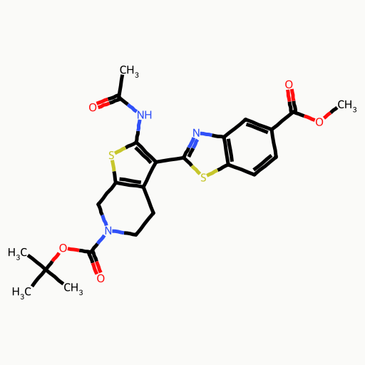 COC(=O)c1ccc2sc(-c3c(NC(C)=O)sc4c3CCN(C(=O)OC(C)(C)C)C4)nc2c1